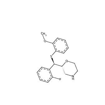 COc1ccccc1S[C@H](c1ccccc1F)[C@H]1CNCCO1